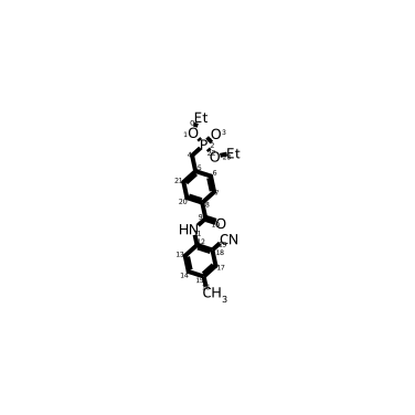 CCOP(=O)(Cc1ccc(C(=O)Nc2ccc(C)cc2C#N)cc1)OCC